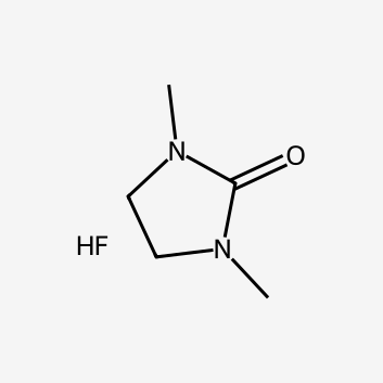 CN1CCN(C)C1=O.F